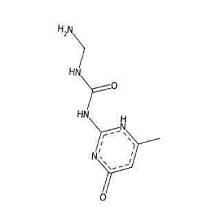 Cc1cc(=O)nc(NC(=O)NCN)[nH]1